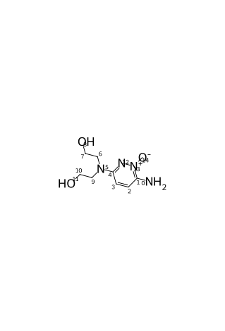 Nc1ccc(N(CCO)CCO)n[n+]1[O-]